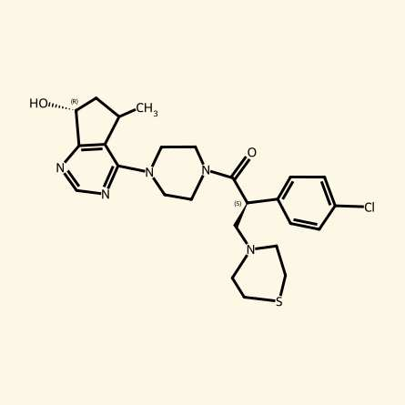 CC1C[C@@H](O)c2ncnc(N3CCN(C(=O)[C@H](CN4CCSCC4)c4ccc(Cl)cc4)CC3)c21